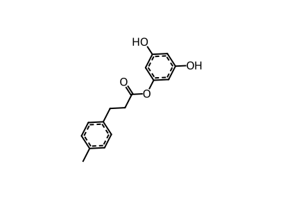 Cc1ccc(CCC(=O)Oc2cc(O)cc(O)c2)cc1